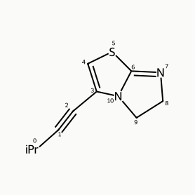 CC(C)C#CC1=CSC2=NCCN12